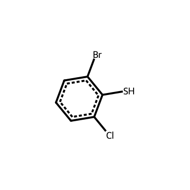 Sc1c(Cl)cccc1Br